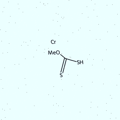 COC(=S)S.[Cr]